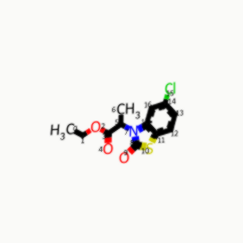 CCOC(=O)C(C)n1c(=O)sc2ccc(Cl)cc21